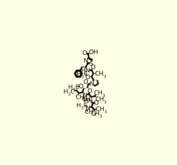 CC[C@H](C)[C@@H]([C@@H](CC(=O)N1CCC[C@H]1[C@H](OC)[C@@H](C)C(=O)N[C@@H](Cc1ccccc1)c1nc(C(=O)O)cs1)OC)N(C)C(=O)[C@@H](NC(=O)C(C(C)C)N(C)C)C(C)C